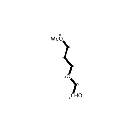 COCCCOCC=O